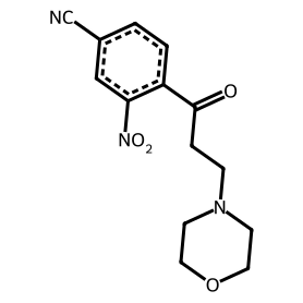 N#Cc1ccc(C(=O)CCN2CCOCC2)c([N+](=O)[O-])c1